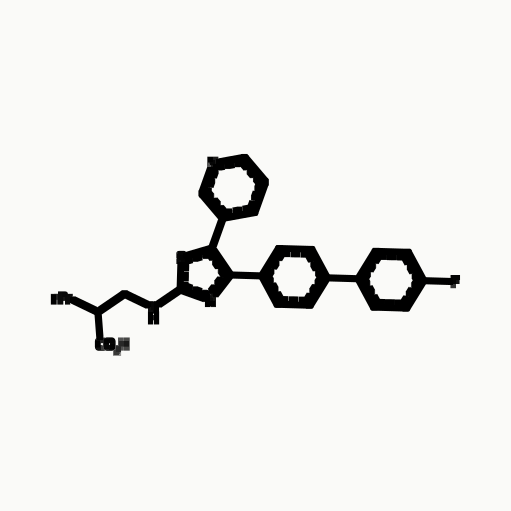 CCCC(CNc1nc(-c2ccc(-c3ccc(F)cc3)cc2)c(-c2cccnc2)s1)C(=O)O